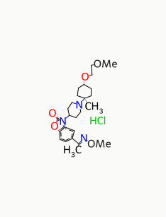 COCCO[C@H]1CC[C@](C)(N2CCC(n3c(=O)oc4ccc(C(C)=NOC)cc43)CC2)CC1.Cl